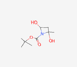 CC(C)(C)OC(=O)N1C(O)CC1(C)O